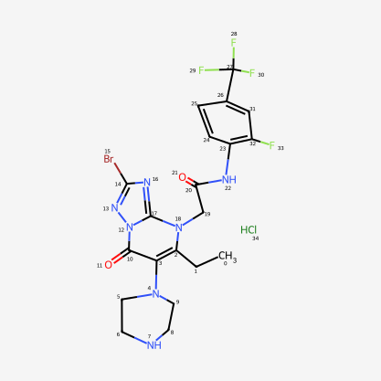 CCc1c(N2CCNCC2)c(=O)n2nc(Br)nc2n1CC(=O)Nc1ccc(C(F)(F)F)cc1F.Cl